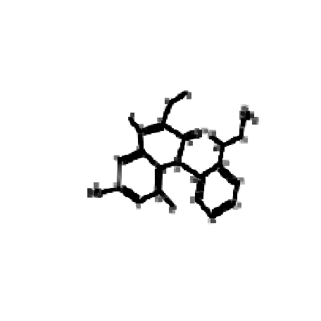 CCc1c(C)c2cc(O)cc(C)c2n(-c2ccccc2C(C)CN)c1=O